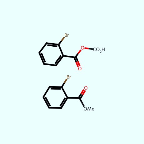 COC(=O)c1ccccc1Br.O=C(O)OC(=O)c1ccccc1Br